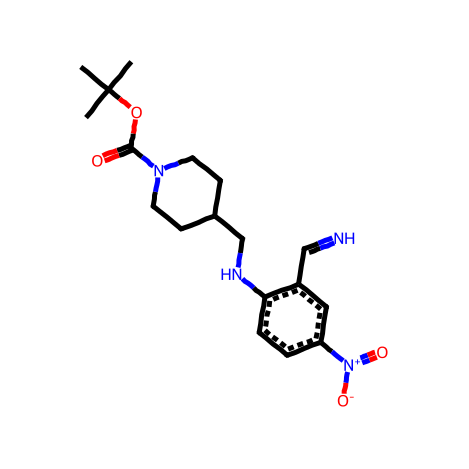 CC(C)(C)OC(=O)N1CCC(CNc2ccc([N+](=O)[O-])cc2C=N)CC1